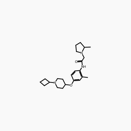 Cc1cc(OC2CCN(C3CCC3)CC2)ccc1NC(=O)CN1CCCC1C